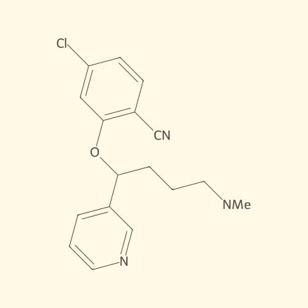 CNCCCC(Oc1cc(Cl)ccc1C#N)c1cccnc1